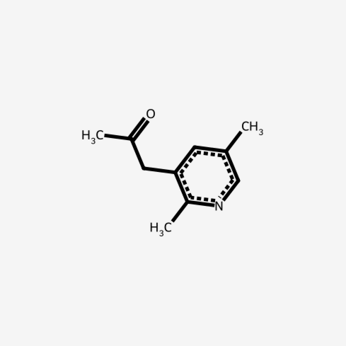 CC(=O)Cc1cc(C)cnc1C